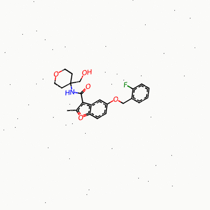 Cc1oc2ccc(OCc3ccccc3F)cc2c1C(=O)NC1(CO)CCOCC1